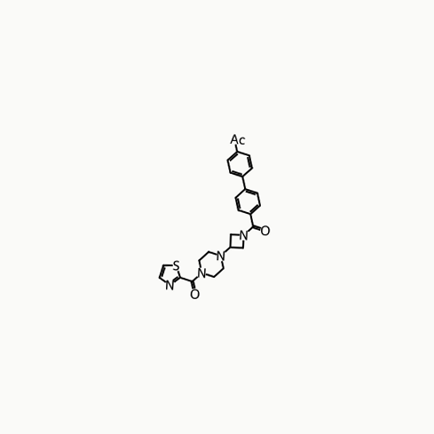 CC(=O)c1ccc(-c2ccc(C(=O)N3CC(N4CCN(C(=O)c5nccs5)CC4)C3)cc2)cc1